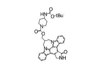 CC(C)(C)OC(=O)NC1CCN(C(=O)OCC2Cn3c4ccccc4c4c5c(c6c7ccccc7n(c6c43)C2)C(=O)NC5)CC1